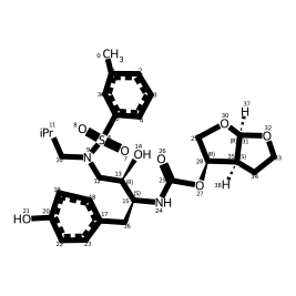 Cc1[c]ccc(S(=O)(=O)N(CC(C)C)C[C@@H](O)[C@H](Cc2ccc(O)cc2)NC(=O)O[C@H]2CO[C@H]3OCC[C@H]32)c1